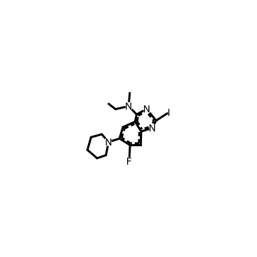 CCN(C)c1nc(I)nc2cc(F)c(N3CCCCC3)cc12